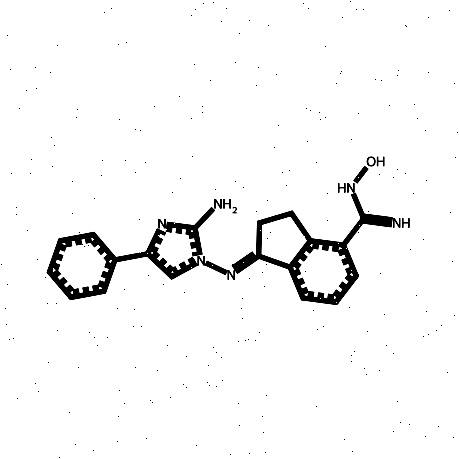 N=C(NO)c1cccc2c1CCC2=Nn1cc(-c2ccccc2)nc1N